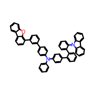 c1ccc(N(c2ccc(-c3cccc(-c4cccc5c4oc4ccccc45)c3)cc2)c2ccc(-c3ccccc3-c3ccccc3-n3c4ccccc4c4ccccc43)cc2)cc1